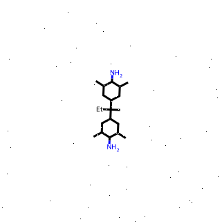 CCC(C)(C1CC(C)C(N)C(C)C1)C1CC(C)C(N)C(C)C1